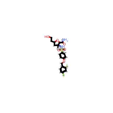 NC(=O)C1OC(CCO)CC1(NS(=O)(=O)c1ccc(OCc2ccc(F)cc2F)cc1)C(=O)O